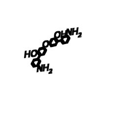 Nc1cccc(-c2ccc(Oc3ccc(-c4cccc(N)c4)c(O)c3)cc2O)c1